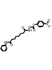 O=C(CCCCCCC(=O)Nc1ccccc1)NOC(=O)Oc1ccc([N+](=O)[O-])cc1